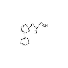 O=C(Oc1cccc(-c2ccccc2)c1)C1CN1